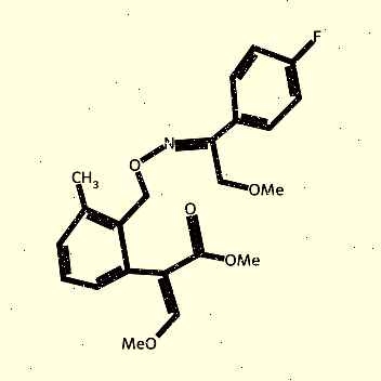 CO/C=C(/C(=O)OC)c1cccc(C)c1CO/N=C(\COC)c1ccc(F)cc1